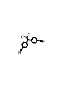 N#Cc1ccc(C(=C(Cl)Cl)c2ccc(C#N)cc2)cc1